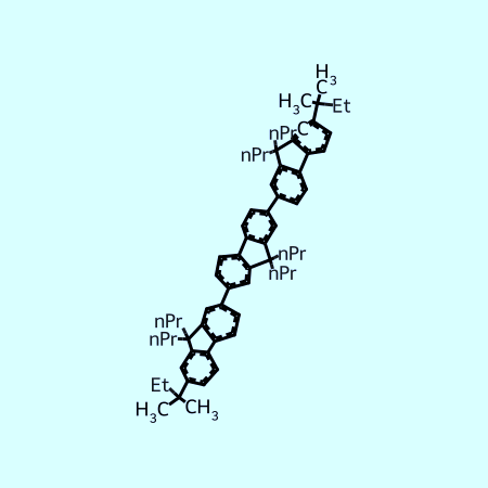 CCCC1(CCC)c2cc(-c3ccc4c(c3)C(CCC)(CCC)c3cc(C(C)(C)CC)ccc3-4)ccc2-c2ccc(-c3ccc4c(c3)C(CCC)(CCC)c3cc(C(C)(C)CC)ccc3-4)cc21